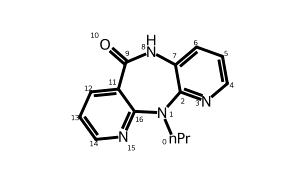 CCCN1c2ncccc2NC(=O)c2cccnc21